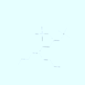 CCCO[SiH](CC[SiH](OC(C)(C)C)OC(C)(C)C)OCCC